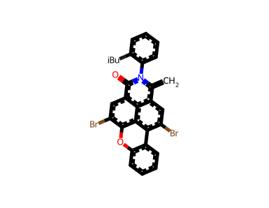 C=c1c2cc(Br)c3c4c(c(Br)cc(c(=O)n1-c1ccccc1C(C)CC)c42)Oc1ccccc1-3